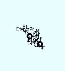 CCCN(CC(CC)CC)c1ccc2c(cnn2[C@H](C)[C@](O)(Cn2cncn2)c2ccc(F)cc2F)c1